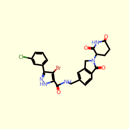 O=C1CCC(N2Cc3cc(CNC(=O)c4[nH]nc(-c5cccc(Cl)c5)c4Br)ccc3C2=O)C(=O)N1